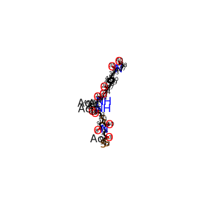 CC(=O)C1(C(=O)CCN2C(=O)CC(SCCC(=O)N[C@H](CNC(=O)COCC(=O)Cc3ccc(CCC(=O)N4CCC4=O)cc3)C(=O)C(C(C)=O)(C(C)=O)C(C)=O)C2=O)SS1